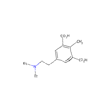 CCN(CC)CCc1cc(C(=O)O)c(C)c(C(=O)O)c1